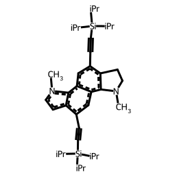 CC(C)[Si](C#Cc1cc2c(cc(C#C[Si](C(C)C)(C(C)C)C(C)C)c3ccn(C)c32)c2c1CCN2C)(C(C)C)C(C)C